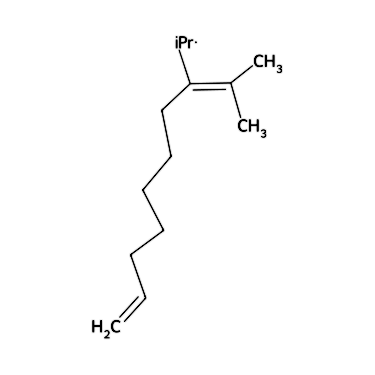 C=CCCCCCC([C](C)C)=C(C)C